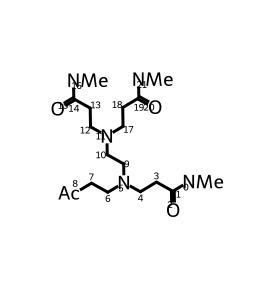 CNC(=O)CCN(CCC(C)=O)CCN(CCC(=O)NC)CCC(=O)NC